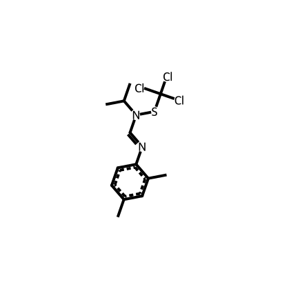 Cc1ccc(N=CN(SC(Cl)(Cl)Cl)C(C)C)c(C)c1